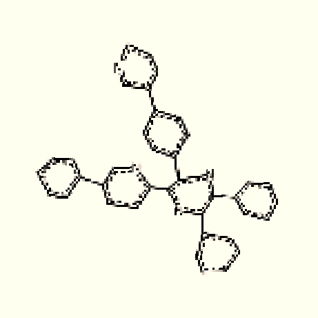 c1ccc(-c2ccc(-c3nc(-c4ccccc4)c(-c4ccccc4)nc3-c3ccc(-c4cccnc4)cc3)nc2)cc1